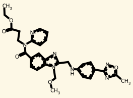 CCOC(=O)CCN(C(=O)c1ccc2c(c1)nc(CNc1ccc(-c3noc(C)n3)cc1)n2COC)c1ccccn1